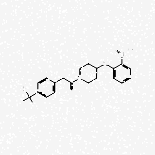 O=C(Cc1ccc(C(F)(F)F)cc1)N1CCC(Nc2ccccc2[N+](=O)[O-])CC1